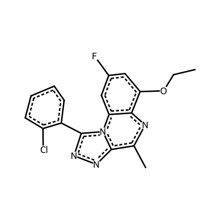 CCOc1cc(F)cc2c1nc(C)c1nnc(-c3ccccc3Cl)n12